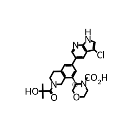 CC(C)(O)C(=O)N1CCc2cc(-c3cnc4[nH]cc(Cl)c4c3)cc([C@@H]3COCCN3C(=O)O)c2C1